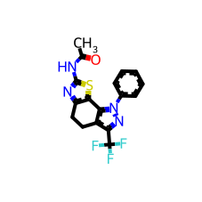 CC(=O)Nc1nc2c(s1)-c1c(c(C(F)(F)F)nn1-c1ccccc1)CC2